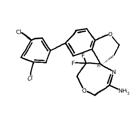 NC1=N[C@@]2(CCOc3ccc(-c4cc(Cl)cc(Cl)c4)cc32)C(F)(F)COC1